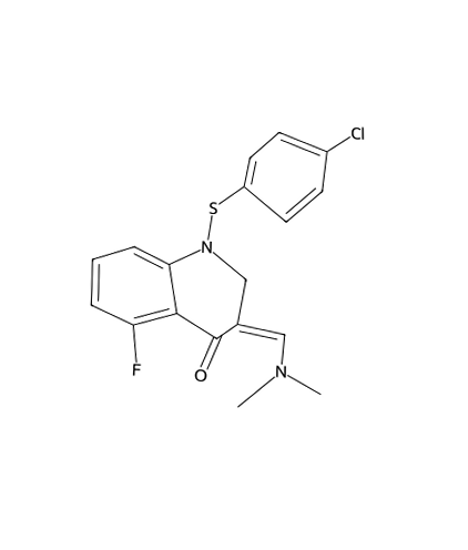 CN(C)C=C1CN(Sc2ccc(Cl)cc2)c2cccc(F)c2C1=O